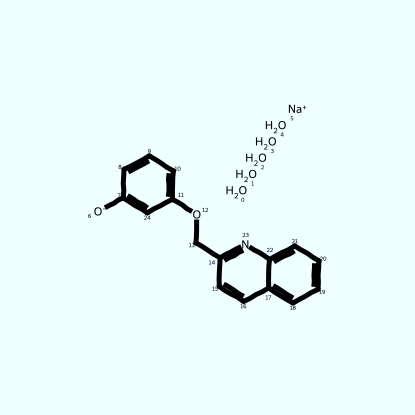 O.O.O.O.O.[Na+].[O-]c1cccc(OCc2ccc3ccccc3n2)c1